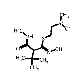 CNC(=O)C(C(=NO)SCC[S+](C)[O-])C(C)(C)C